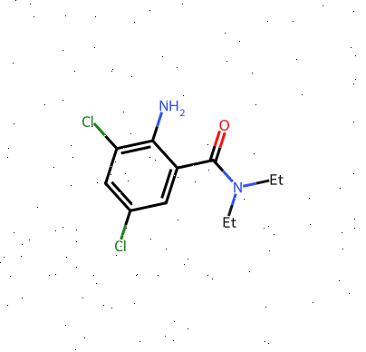 CCN(CC)C(=O)c1cc(Cl)cc(Cl)c1N